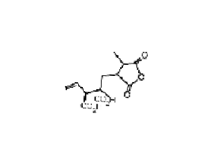 C=CC(C(=O)O)C(CC1C(=O)OC(=O)C1C)C(=O)O